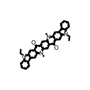 CCn1c2ccccc2c2cc3c(cc21)c(=O)c1cc2c(cc1n3C)c(=O)c1cc3c(cc1n2C)c1ccccc1n3CC